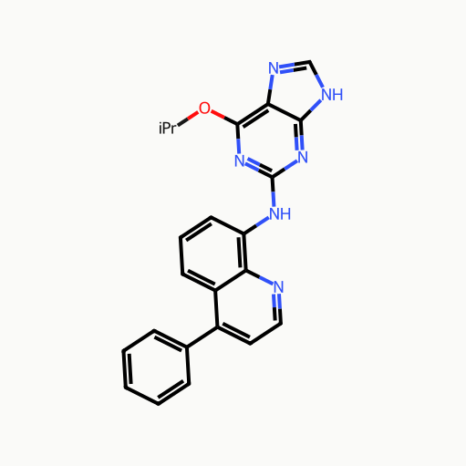 CC(C)Oc1nc(Nc2cccc3c(-c4ccccc4)ccnc23)nc2[nH]cnc12